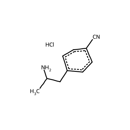 CC(N)Cc1ccc(C#N)cc1.Cl